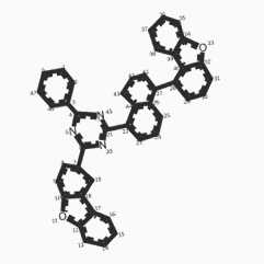 c1ccc(-c2nc(-c3ccc4oc5ccccc5c4c3)nc(-c3cccc4c(-c5cccc6oc7ccccc7c56)cccc34)n2)cc1